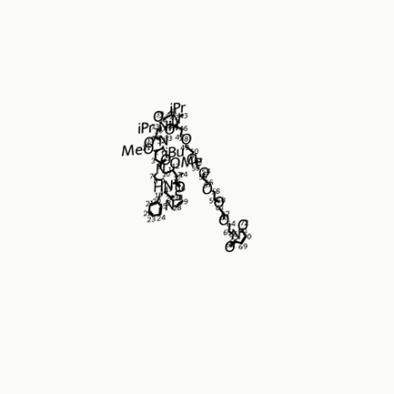 CC[C@H](C)[C@@H]([C@@H](CC(=O)N1CCC[C@H]1[C@H](OC)[C@@H](C)C(=O)N[C@@H](Cc1ccccc1)c1nccs1)OC)N(C)C(=O)[C@@H](NC(=O)[C@H](C(C)C)N(C)C(=O)CCOCCOCCOCCOCCOCCOCCN1C(=O)C=CC1=O)C(C)C